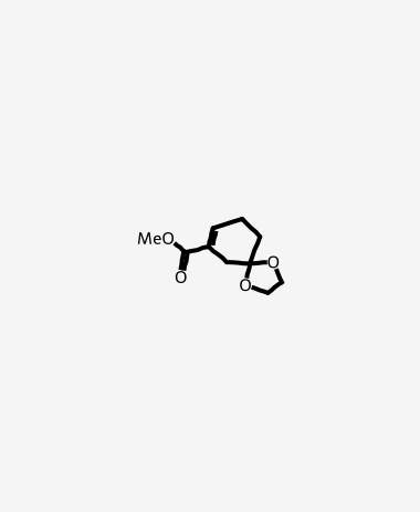 COC(=O)C1=CCCC2(C1)OCCO2